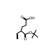 C=CC(CCC(=O)O)C(=O)OC(C)(C)C